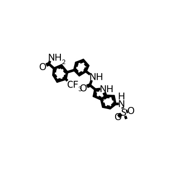 CS(=O)(=O)Nc1ccc2cc(C(=O)Nc3cccc(-c4cc(C(N)=O)ccc4C(F)(F)F)c3)[nH]c2c1